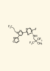 OC(CNc1nc(-c2cc(-c3ccon3)n(CCC(F)(F)F)n2)ncc1F)(C(F)(F)F)C(F)(F)F